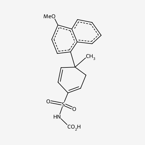 COc1ccc(C2(C)C=CC(S(=O)(=O)NC(=O)O)=CC2)c2ccccc12